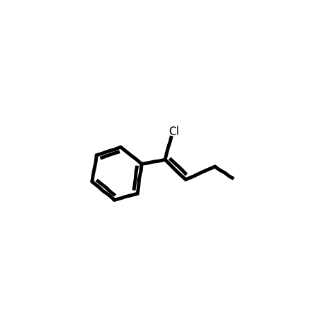 CC/C=C(\Cl)c1ccccc1